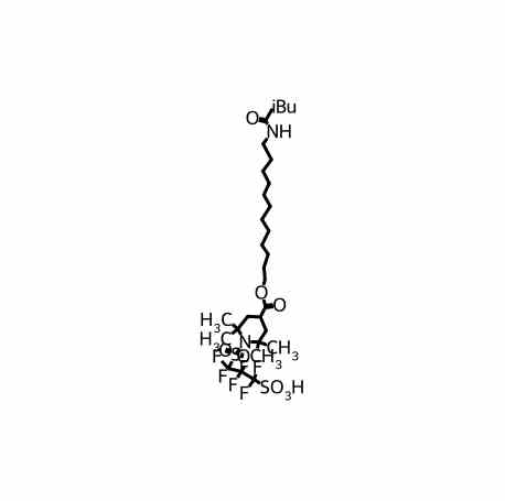 CCC(C)C(=O)NCCCCCCCCCCCCOC(=O)C1CC(C)(C)N(S(=O)(=O)C(F)(F)C(F)(F)C(F)(F)S(=O)(=O)O)C(C)(C)C1